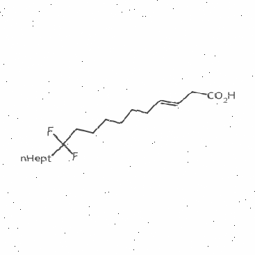 CCCCCCCC(F)(F)CCCCCC/C=C/CC(=O)O